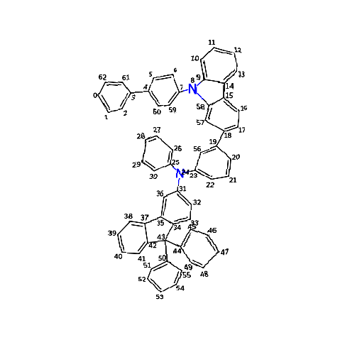 c1ccc(-c2ccc(-n3c4ccccc4c4ccc(-c5cccc(N(c6ccccc6)c6ccc7c(c6)-c6ccccc6C7(c6ccccc6)c6ccccc6)c5)cc43)cc2)cc1